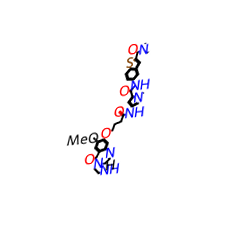 COc1cc2c(cc1OCCCC(=O)Nc1cc(C(=O)Nc3ccc4sc(C(=O)N(C)C)cc4c3)n(C)c1)N=C[C@H]1NCCN1C2=O